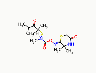 CC(C)C(=O)C(C)(C)SN(C)C(=O)ON=C1SCC(=O)NC1(C)C